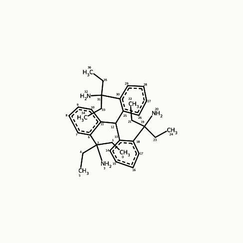 CCC(N)(CC)c1ccccc1C(c1ccccc1C(N)(CC)CC)c1ccccc1C(N)(CC)CC